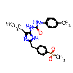 CS(=O)(=O)c1ccc(Cc2nc(C(=O)O)c(NC(=O)Nc3ccc(C(F)(F)F)cc3)[nH]2)cc1